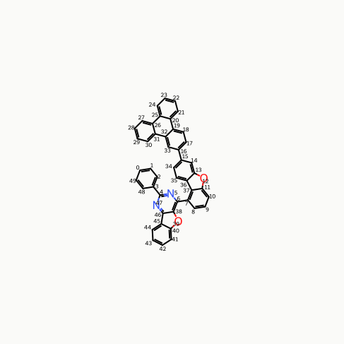 c1ccc(-c2nc(-c3cccc4oc5cc(-c6ccc7c8ccccc8c8ccccc8c7c6)ccc5c34)c3oc4ccccc4c3n2)cc1